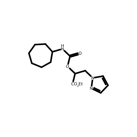 CCOC(=O)C(Cn1cccn1)OC(=O)NC1CCCCCC1